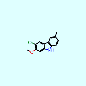 COc1cc2[nH]c3ccc(C)cc3c2cc1Cl